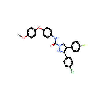 CC(C)Oc1ccc(Oc2ccc(NC(=O)N3CC(c4ccc(F)cc4)=C(c4ccc(Cl)cc4)N3)cc2)cc1